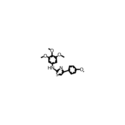 COc1ccc(-c2csc(Nc3cc(OC)c(OC)c(OC)c3)n2)cc1